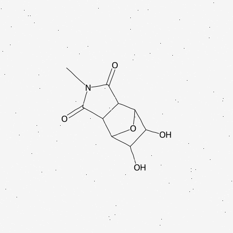 CN1C(=O)C2C3OC(C(O)C3O)C2C1=O